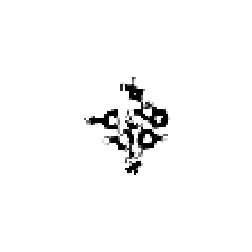 CC(C)(C)OC(=O)N1CC(=O)N(C2=NCCC(C#N)=C2)[C@H](C(=O)N(c2cc(F)cc(F)c2)[C@H](C(=O)NC2CC(F)(F)C2)c2ccccc2Cl)C1